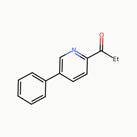 CCC(=O)c1ccc(-c2ccccc2)cn1